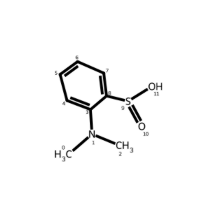 CN(C)c1ccccc1S(=O)O